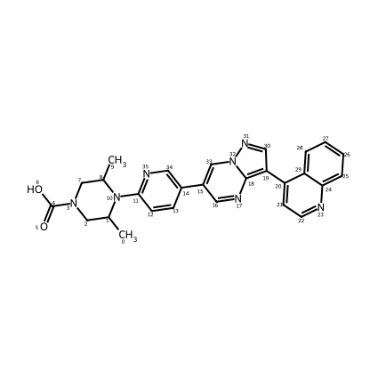 CC1CN(C(=O)O)CC(C)N1c1ccc(-c2cnc3c(-c4ccnc5ccccc45)cnn3c2)cn1